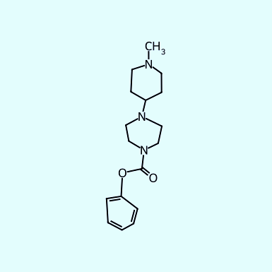 CN1CCC(N2CCN(C(=O)Oc3ccccc3)CC2)CC1